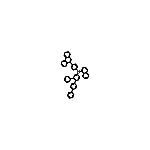 c1ccc(-c2ccc(-c3ccc(N(c4ccc(-c5cc6ccccc6c6ccccc56)cc4)c4cccc5ccccc45)cc3-c3ccccc3)cc2)cc1